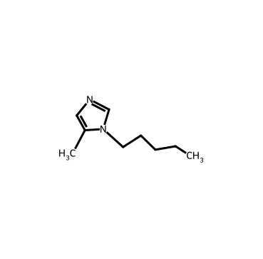 CCCCCn1cncc1C